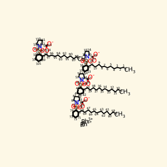 CCCCCCCCCCCCc1ccccc1S(=O)(=O)N1CCC[C@@H]1C(=O)[O-].CCCCCCCCCCCCc1ccccc1S(=O)(=O)N1CCC[C@@H]1C(=O)[O-].CCCCCCCCCCCCc1ccccc1S(=O)(=O)N1CCC[C@@H]1C(=O)[O-].CCCCCCCCCCCCc1ccccc1S(=O)(=O)N1CCC[C@@H]1C(=O)[O-].[Rh+3].[Rh+3]